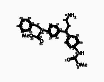 COC(=O)Nc1ccc(C(CCN)c2ccc(N(Cc3ccccc3)C(=O)OC)cc2)cc1